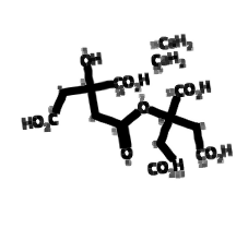 O=C(O)CC(O)(CC(=O)OC(CC(=O)O)(CC(=O)O)C(=O)O)C(=O)O.[CaH2].[CaH2]